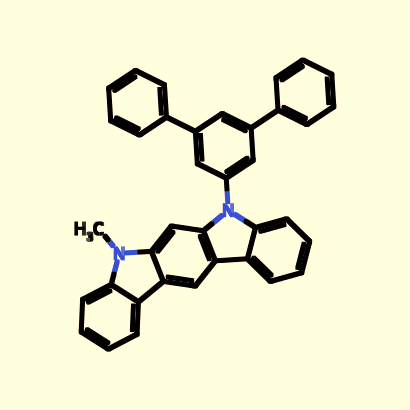 Cn1c2ccccc2c2cc3c4ccccc4n(-c4cc(-c5ccccc5)cc(-c5ccccc5)c4)c3cc21